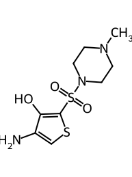 CN1CCN(S(=O)(=O)c2scc(N)c2O)CC1